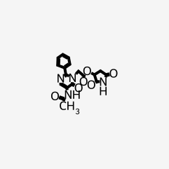 CC(=O)Nc1cnc(-c2ccccc2)n(CC(=O)OC2CC(=O)NC2=O)c1=O